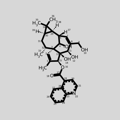 CC1=C[C@]23C(O)[C@@H](C=C(CO)[C@@H](O)[C@]2(O)[C@H]1OC(=O)c1ccnc2ccccc12)[C@H]1[C@@H](C[C@H]3C)C1(C)C